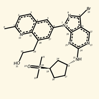 Cc1ccc2cc(-n3nc(Br)c4cnc(N[C@@H]5CC[C@@H](P(C)(C)=O)C5)nc43)cc(CCO)c2n1